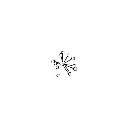 [K+].[O]=[Nb](=[O])([O-])([Cl])([Cl])([Cl])([Cl])([Cl])([Cl])[Cl]